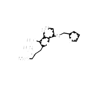 CSC[C@H](N)Cc1sc2c(NCc3cccs3)cnnc2c1C